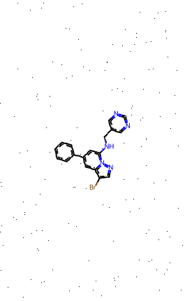 Brc1cnn2c(NCc3cncnc3)cc(-c3ccccc3)cc12